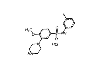 COc1ccc(S(=O)(=O)Nc2cccc(I)c2)cc1N1CCNCC1.Cl